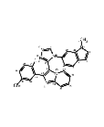 Cn1ccc2ccc(-n3cnnc3-c3c(-c4cc(Cl)ccc4Cl)nc4ccccn34)cc21